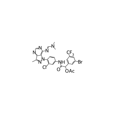 CC(=O)OC(C(=O)Nc1ccc(-n2nc(C)c3ncnc(/N=C/N(C)C)c32)c(Cl)c1)c1cc(Br)cc(C(F)(F)F)c1